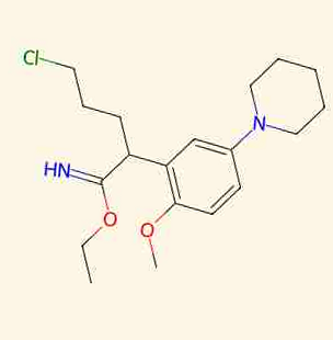 CCOC(=N)C(CCCCl)c1cc(N2CCCCC2)ccc1OC